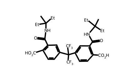 CCC(C)(CC)NC(=O)c1cc(C(c2ccc(C(=O)O)c(C(=O)NC(C)(CC)CC)c2)(C(F)(F)F)C(F)(F)F)ccc1C(=O)O